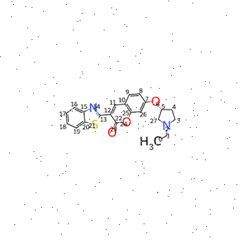 CCN1CC[C@@H](Oc2ccc3cc(-c4nc5ccccc5s4)c(=O)oc3c2)C1